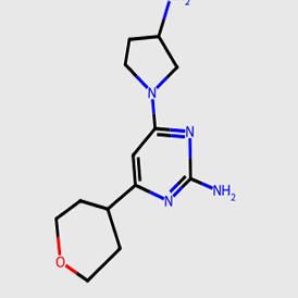 Nc1nc(C2CCOCC2)cc(N2CCC(N)C2)n1